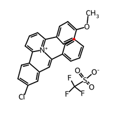 COc1ccc(-c2cccc3c4ccc(Cl)cc4cc(-c4ccccc4)[n+]23)cc1.O=S(=O)([O-])C(F)(F)F